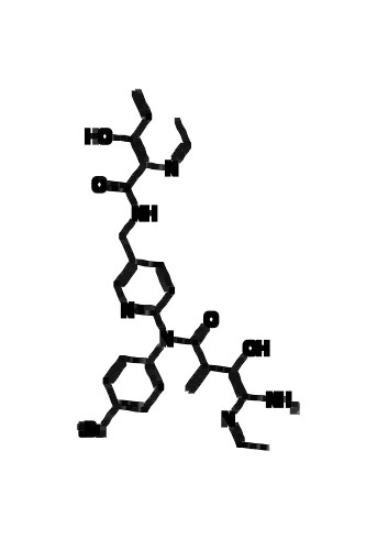 C=C/C(O)=C(\N=C/C)C(=O)NCc1ccc(N(C(=O)C(=C)/C(O)=C(N)\N=C/C)c2ccc(C(C)(C)C)cc2)nc1